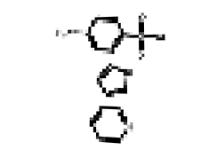 Nc1ccc(S(N)(=O)=O)cc1.c1cc[nH]c1.c1ccncc1